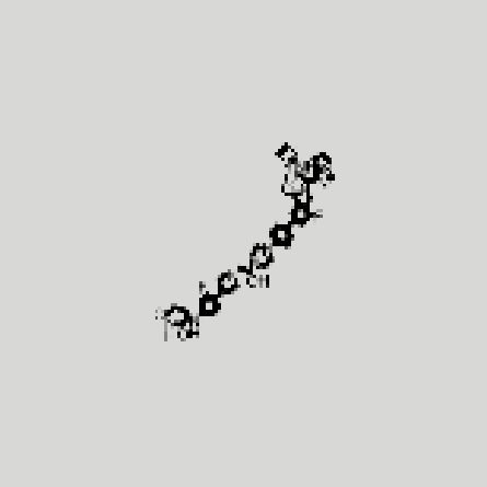 O=C1CC[C@H](Nc2ccc(C3CCN(CC(O)N4CCN(c5ccc(-c6cc(F)c7c(c6)C(=O)N(C(C(=O)Nc6nccs6)c6ncn8c6CCC8)C7)cc5)CC4)CC3)c(F)c2)C(=O)N1